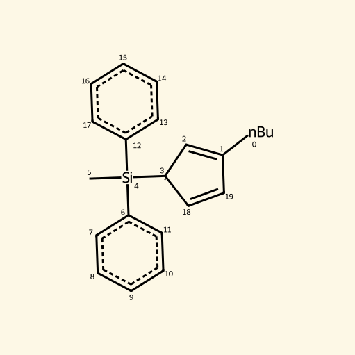 CCCCC1=C[C]([Si](C)(c2ccccc2)c2ccccc2)C=C1